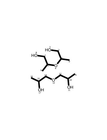 CC(CO)OC(C)CO.CC(O)COCC(C)O